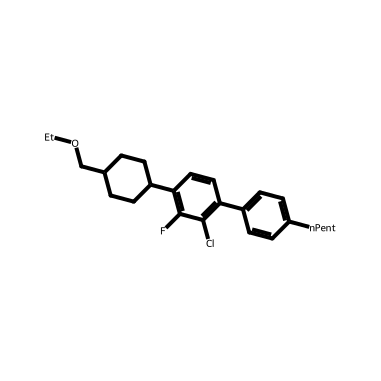 CCCCCc1ccc(-c2ccc(C3CCC(COCC)CC3)c(F)c2Cl)cc1